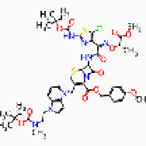 BOC(=O)[C@H](C)O/N=C(\C(=O)NC1C(=O)N2C(C(=O)OCc3ccc(OC)cc3)=C(C[n+]3cccc4c3ccn4CCN(C)C(=O)OC(C)(C)C)CSC12)c1nc(NC(=O)OC(C)(C)C)sc1Cl